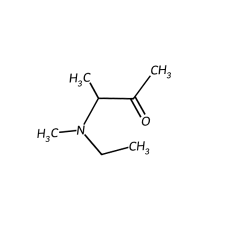 CCN(C)C(C)C(C)=O